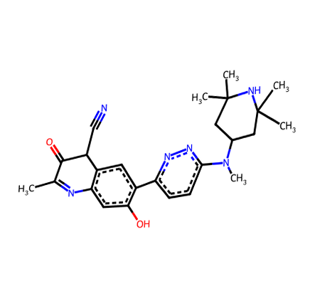 CC1=Nc2cc(O)c(-c3ccc(N(C)C4CC(C)(C)NC(C)(C)C4)nn3)cc2C(C#N)C1=O